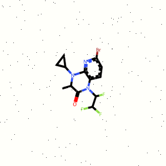 CC1C(=O)N(C(F)C(F)F)c2ccc(Br)nc2N1C1CC1